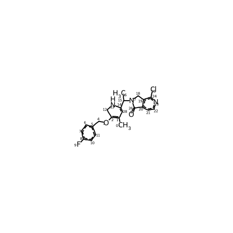 CC1=C(OCc2ccc(F)cc2)CNC(C(C)N2Cc3c(ccnc3Cl)C2=O)=C1